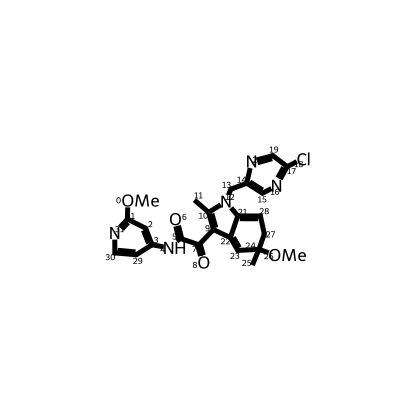 COc1cc(NC(=O)C(=O)c2c(C)n(Cc3cnc(Cl)cn3)c3c2=CC(C)(OC)CC=3)ccn1